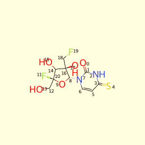 O=c1[nH]c(=S)ccn1[C@@H]1O[C@](F)(CO)C(O)[C@]1(O)CF